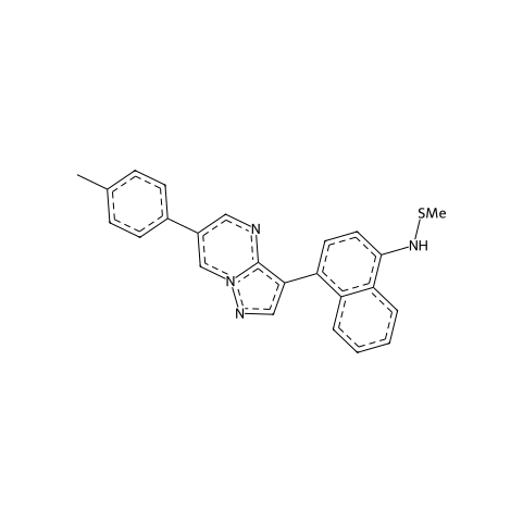 CSNc1ccc(-c2cnn3cc(-c4ccc(C)cc4)cnc23)c2ccccc12